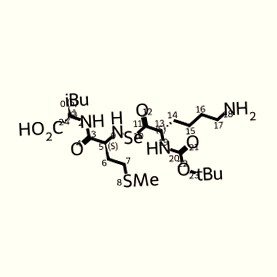 CC[C@H](C)[C@H](NC(=O)[C@H](CCSC)N[Se]C(=O)[C@H](CCCCN)NC(=O)OC(C)(C)C)C(=O)O